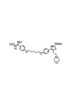 CNc1nc(-c2ccc(OCCCCCOc3ccc(C(=N)NO)cc3)cc2)c(CCN2CCOCC2)s1